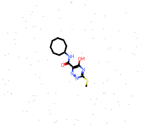 CSc1nnc(C(=O)NC2CCCCCCC2)c(O)n1